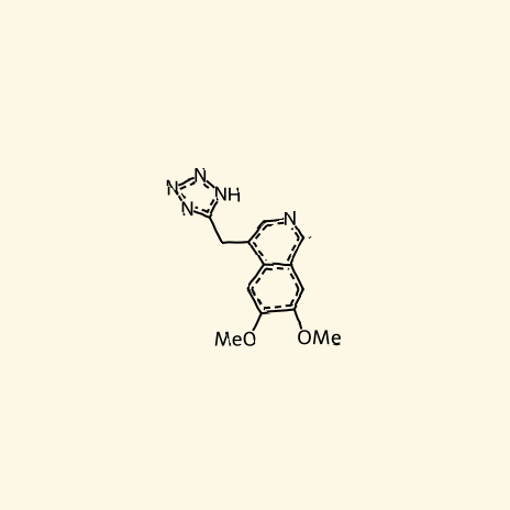 COc1cc2[c]ncc(Cc3nnn[nH]3)c2cc1OC